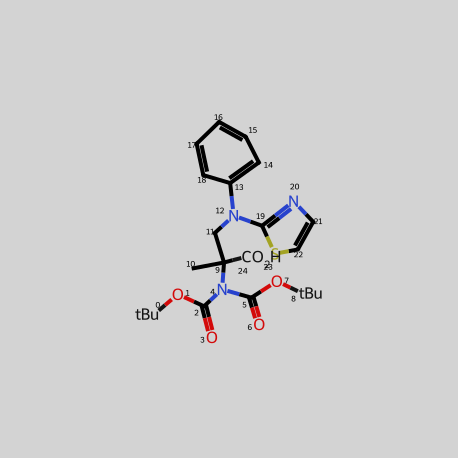 CC(C)(C)OC(=O)N(C(=O)OC(C)(C)C)C(C)(CN(c1ccccc1)c1nccs1)C(=O)O